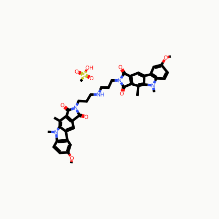 COc1ccc2c(c1)c1cc3c(c(C)c1n2C)C(=O)N(CCCNCCCN1C(=O)c2cc4c5cc(OC)ccc5n(C)c4c(C)c2C1=O)C3=O.CS(=O)(=O)O